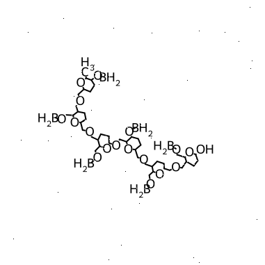 BOCC1OC(O)CCC1COCC1CCC(COCC2CCC(OB)C(COC3CCC(COCC4CCC(COCC5CCC(OB)C(C)O5)C(COB)O4)C(COB)O3)O2)C(COB)O1